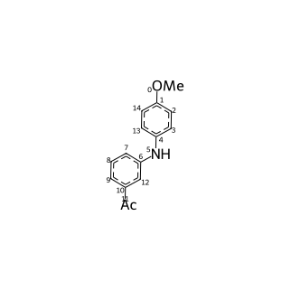 COc1ccc(Nc2cccc(C(C)=O)c2)cc1